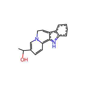 CC(O)C1=CN2CC=c3c([nH]c4ccccc34)=C2C=C1